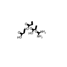 C=CC(=O)O.C=CC(=O)O.C=CC(=O)O.NC(N)=O